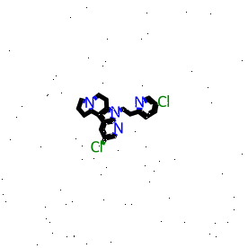 Clc1ccc(CCn2c3c(c4cc(Cl)cnc42)C2CCCN2CC3)nc1